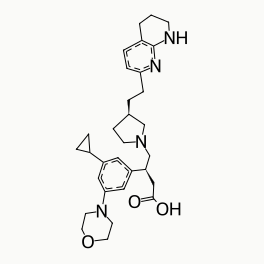 O=C(O)C[C@H](CN1CC[C@@H](CCc2ccc3c(n2)NCCC3)C1)c1cc(C2CC2)cc(N2CCOCC2)c1